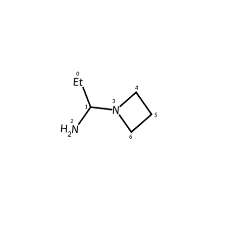 CCC(N)N1CCC1